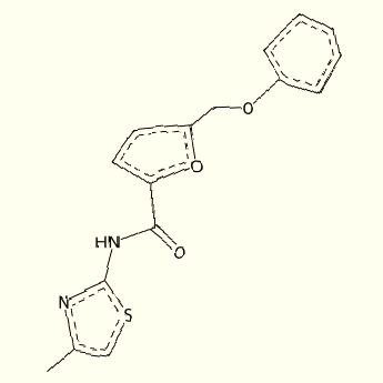 Cc1csc(NC(=O)c2ccc(COc3ccccc3)o2)n1